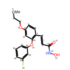 COCCOc1ccc(/C=C/C(=O)NO)c(Oc2cccc(F)c2)c1